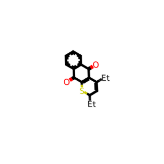 CCC1=CC(CC)SC2=C1C(=O)c1ccccc1C2=O